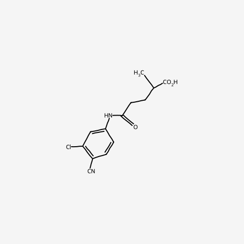 CC(CCC(=O)Nc1ccc(C#N)c(Cl)c1)C(=O)O